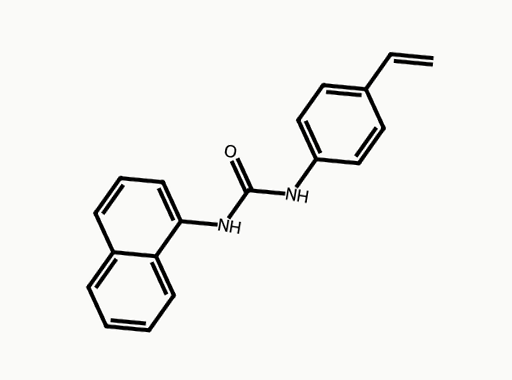 C=Cc1ccc(NC(=O)Nc2cccc3ccccc23)cc1